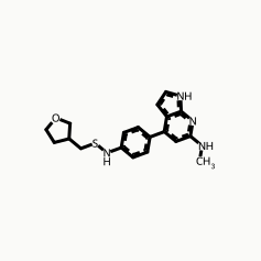 CNc1cc(-c2ccc(NSCC3CCOC3)cc2)c2cc[nH]c2n1